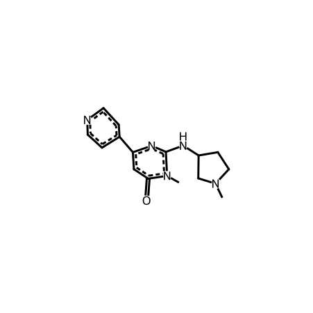 CN1CCC(Nc2nc(-c3ccncc3)cc(=O)n2C)C1